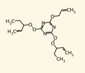 C=CCOc1nc(OOC(C=C)CC)nc(OOC(C=C)CC)n1